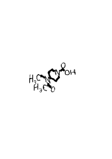 CCN(C(C)=O)C1CCN(C(=O)O)CC1